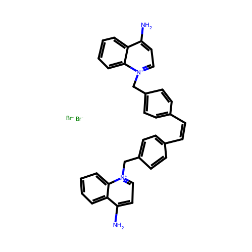 Nc1cc[n+](Cc2ccc(/C=C\c3ccc(C[n+]4ccc(N)c5ccccc54)cc3)cc2)c2ccccc12.[Br-].[Br-]